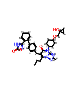 CCCc1c(Cc2ccc(-c3ccccc3-c3noc(=O)[nH]3)cc2)c(=O)n(C2CCC(OCC3(O)CC3)CC2)c2nc(C)nn12